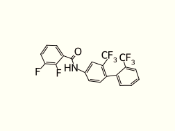 O=C(Nc1ccc(-c2ccccc2C(F)(F)F)c(C(F)(F)F)c1)c1cccc(F)c1F